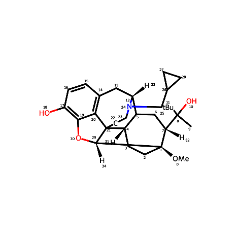 CO[C@]12CC[C@H]3C(C[C@@H]1C(C)(O)C(C)(C)C)[C@H]1Cc4ccc(O)c5c4C3(CCN1CC1CC1)[C@H]2O5